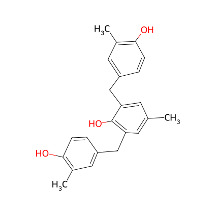 Cc1cc(Cc2ccc(O)c(C)c2)c(O)c(Cc2ccc(O)c(C)c2)c1